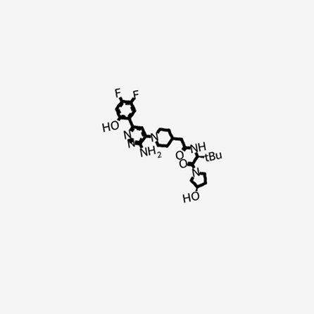 CC(C)(C)[C@H](NC(=O)CC1CCN(c2cc(-c3cc(F)c(F)cc3O)nnc2N)CC1)C(=O)N1CC[C@@H](O)C1